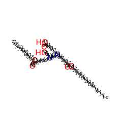 CCCCCCCCCCCCCCCCCCCCCCCCOC(=O)CCCCCCCN(CCCCCCCC(=O)O)CCCN(CCCO)CCCCCCCC(=C=O)OCCCCCCCCCCCCCC